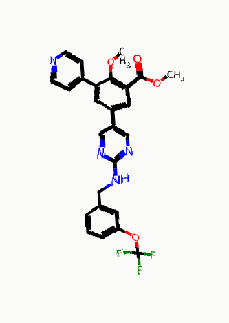 COC(=O)c1cc(-c2cnc(NCc3cccc(OC(F)(F)F)c3)nc2)cc(-c2ccncc2)c1OC